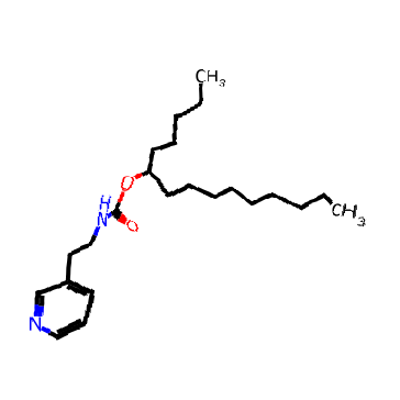 CCCCCCCCCC(CCCCC)OC(=O)NCCc1cccnc1